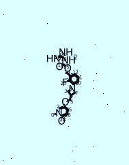 Cn1cc(OCC2CN(c3cccc(COC(=O)NC(=N)N)c3F)C2)ccc1=O